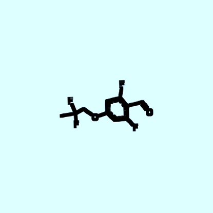 CC(F)(F)COc1cc(F)c(C=O)c(F)c1